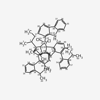 CCC(C)C1=Cc2c(ccc(C)c2-c2ccccc2C(C)C)[CH]1[Zr]([Cl])([Cl])([c]1cccc2c1[SiH2]c1ccccc1-2)[CH]1C(C(C)CC)=Cc2c1ccc(C)c2-c1ccccc1C(C)C